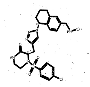 CC(C)(C)NCc1ccc2c(c1)CCC[C@@H]2n1cc(C[C@@H]2C(=O)NCCN2S(=O)(=O)c2ccc(Cl)cc2)nn1